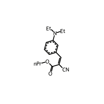 CCCOC(=O)C(C#N)=Cc1cccc(N(CC)CC)c1